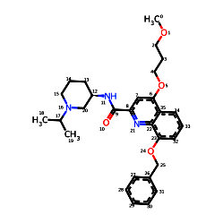 COCCCOc1cc(C(=O)N[C@@H]2CCCN(C(C)C)C2)nc2c(OCc3ccccc3)cccc12